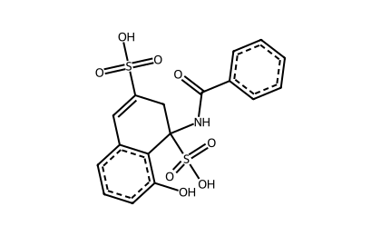 O=C(NC1(S(=O)(=O)O)CC(S(=O)(=O)O)=Cc2cccc(O)c21)c1ccccc1